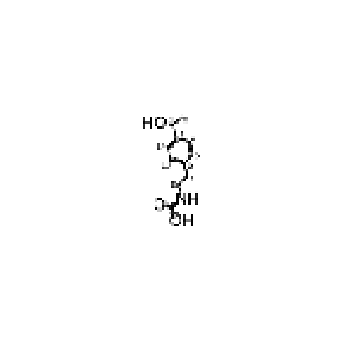 CC(O)c1ccc(CCNC(=O)O)cc1